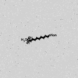 CCCCCCCCCCCCCCCCCC[N+](C)(C)CC